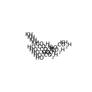 O=C(O)O.O=C(O)O.O=C(O)O.O=C(O)O.O=C(O)O.O=C(O)O.O=C(O)O.[KH].[KH].[KH].[KH].[KH]